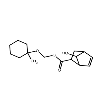 CC1(OCOC(=O)C2CC3C=CC2C3O)CCCCC1